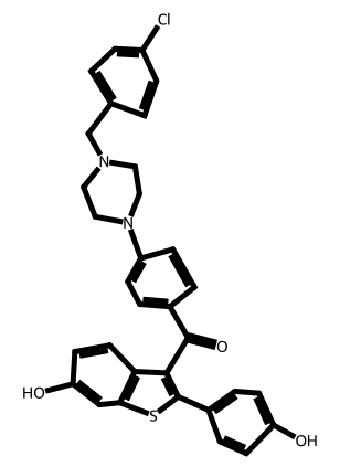 O=C(c1ccc(N2CCN(Cc3ccc(Cl)cc3)CC2)cc1)c1c(-c2ccc(O)cc2)sc2cc(O)ccc12